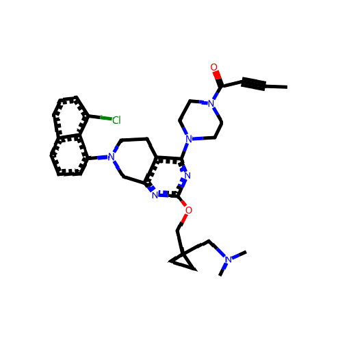 CC#CC(=O)N1CCN(c2nc(OCC3(CN(C)C)CC3)nc3c2CCN(c2cccc4cccc(Cl)c24)C3)CC1